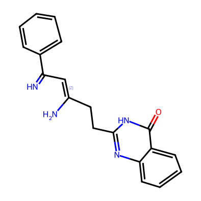 N=C(/C=C(\N)CCc1nc2ccccc2c(=O)[nH]1)c1ccccc1